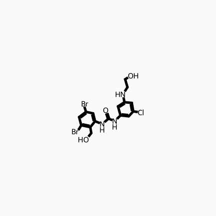 O=C(Nc1cc(Cl)cc(NCCO)c1)Nc1cc(Br)cc(Br)c1CO